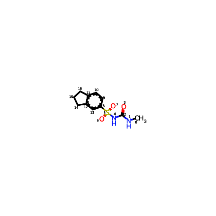 CNC(=O)NS(=O)(=O)c1ccc2c(c1)CCC2